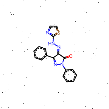 O=C1/C(=N/Nc2nccs2)C(c2ccccc2)=NN1c1ccccc1